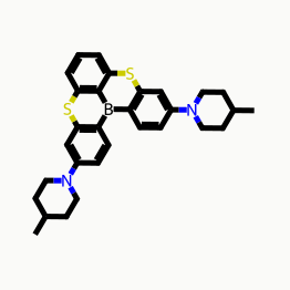 CC1CCN(c2ccc3c(c2)Sc2cccc4c2B3c2ccc(N3CCC(C)CC3)cc2S4)CC1